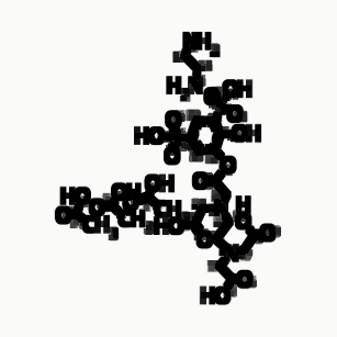 CC(=O)O.CC(=O)O.CC(=O)O.NCCN.O=C(O)CN(CCN(CC(=O)O)CC(=O)Oc1cc(S(=O)(=O)O)cc(S(=O)(=O)O)c1O)CC(=O)O